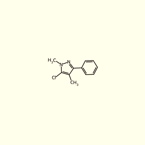 Cc1c(-c2ccccc2)nn(C)c1Cl